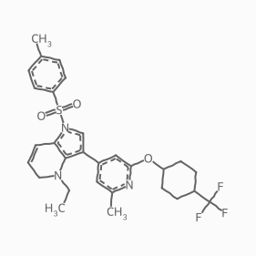 CCN1CC=Cc2c1c(-c1cc(C)nc(OC3CCC(C(F)(F)F)CC3)c1)cn2S(=O)(=O)c1ccc(C)cc1